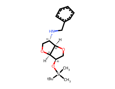 CC(C)(C)[Si](C)(C)O[C@@H]1CO[C@H]2[C@@H]1OC[C@@H]2NCc1ccccc1